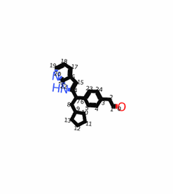 O=CCc1ccc(C(CC2CCCC2)c2cc3cccnc3[nH]2)cc1